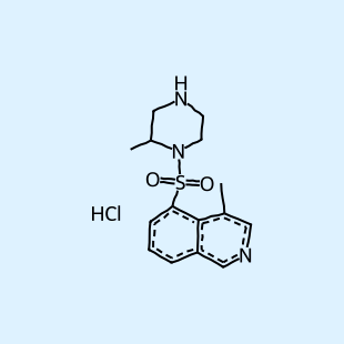 Cc1cncc2cccc(S(=O)(=O)N3CCNCC3C)c12.Cl